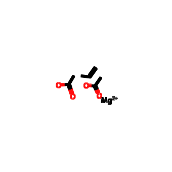 C=CC.CC(=O)[O-].CC(=O)[O-].[Mg+2]